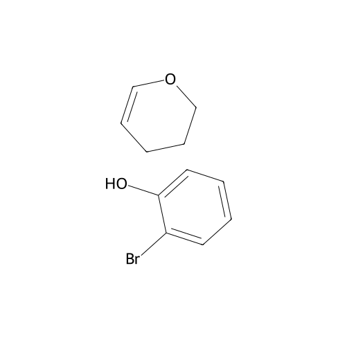 C1=COCCC1.Oc1ccccc1Br